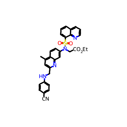 CCOC(=O)CN(c1ccc2c(C)cc(CNc3ccc(C#N)cc3)nc2c1)S(=O)(=O)c1cccc2cccnc12